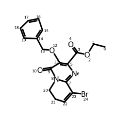 CCOC(=O)c1nc2n(c(=O)c1OCc1ccccc1)CCC=C2Br